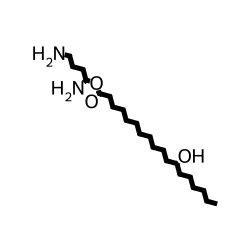 CCCCCCC(O)CCCCCCCCCCC(=O)OC(N)CCCN